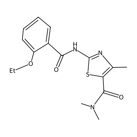 CCOc1ccccc1C(=O)Nc1nc(C)c(C(=O)N(C)C)s1